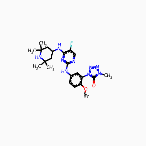 CC(C)Oc1ccc(Nc2ncc(F)c(NC3CC(C)(C)NC(C)(C)C3)n2)cc1-n1nnn(C)c1=O